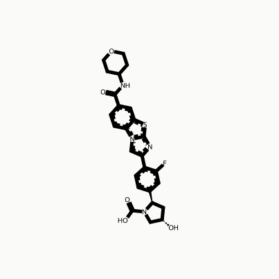 O=C(NC1CCOCC1)c1ccc2c(c1)sc1nc(-c3ccc([C@H]4C[C@H](O)CN4C(=O)O)cc3F)cn12